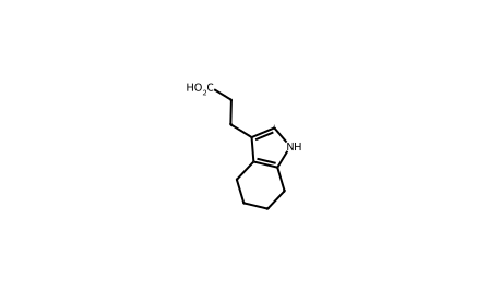 O=C(O)CCc1[c][nH]c2c1CCCC2